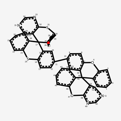 c1ccc2c(c1)Oc1ccc(-c3ccc4c(c3)C3(c5ccccc5S4)c4ccccc4Sc4ncncc43)cc1C21c2ccccc2Oc2ncncc21